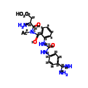 CC(=O)N(C(=O)c1ccccc1NC(=O)Nc1ccc(C(=N)N)cc1)C(=O)[C@@H](N)CC(=O)O